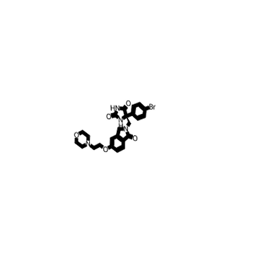 O=C1NC(=O)[C@](CN2Cc3cc(OCCN4CCOCC4)ccc3C2=O)(c2ccc(Br)cc2)N1